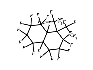 FC(F)(F)C(F)(C(F)(F)F)C1(C(F)(C(F)(F)F)C(F)(F)F)C(F)(F)C(F)(F)C(F)(F)C2(F)C(F)(F)C(F)(F)C(F)(F)C(F)(F)C21F